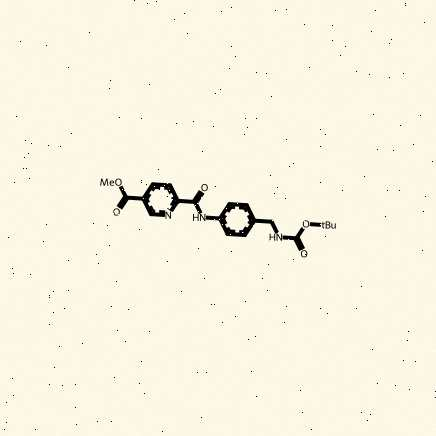 COC(=O)c1ccc(C(=O)Nc2ccc(CNC(=O)OC(C)(C)C)cc2)nc1